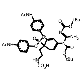 CCC1=CC(N(C(=O)OC(C)(C)C)C(N)=NC(=O)OC(C)(C)C)=CCC1(CCNC(=O)O)P(=O)(Oc1ccc(NC(C)=O)cc1)Oc1ccc(NC(C)=O)cc1